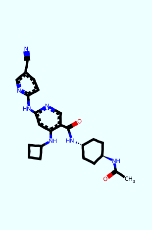 CC(=O)N[C@H]1CC[C@H](NC(=O)c2cnc(Nc3ccc(C#N)cn3)cc2NC2CCC2)CC1